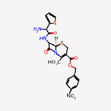 NC(C(=O)NC1C(=O)N2C(C(=O)O)=C(C(=O)OCc3ccc([N+](=O)[O-])cc3)CS[C@H]12)c1cccs1